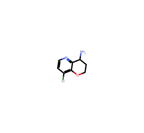 NC1CCOc2c(Cl)ccnc21